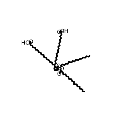 CCCCCCCCCCCCCCCCCC(=O)Oc1cccc(C(CCCCCCCCCCCCCCCCCC(=O)O)CCCCCCCCCCCCCCCCCC(=O)O)c1OC(=O)CCCCCCCCCCCCCCCCC